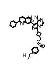 Cc1ccc(S(=O)OCC2CC(c3nc(-c4ccc5ccc(-c6ccccc6)nc5c4)c4c(N)nccn34)C2)cc1